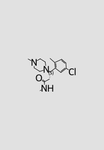 CNC(=O)C[C@@H](c1cc(Cl)ccc1C)N1CCN(C)CC1